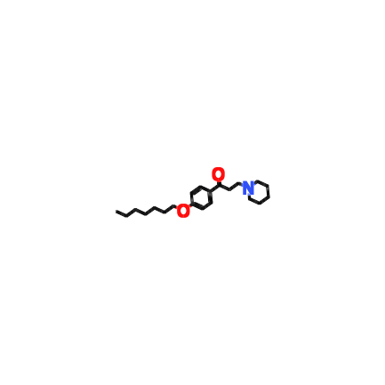 CCCCCCCOc1ccc(C(=O)CCN2CCCCC2)cc1